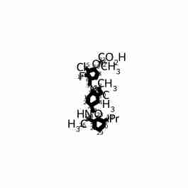 Cc1c(C)n(Cc2ccc(OC(C)C(=O)O)c(Cl)c2F)c2ccc(C(=O)N[C@@H](C)c3cccc(C(C)C)c3)cc12